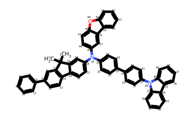 CC1(C)c2cc(-c3ccccc3)ccc2-c2ccc(N(c3ccc(-c4ccc(-n5c6ccccc6c6ccccc65)cc4)cc3)c3ccc4oc5ccccc5c4c3)cc21